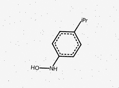 CC(C)c1ccc(NO)cc1